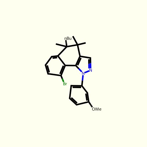 CCCCC1(C)c2cccc(Br)c2-c2c(cnn2-c2cccc(OC)c2)C1(C)C